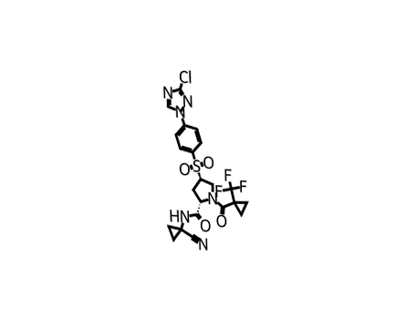 N#CC1(NC(=O)[C@@H]2C[C@@H](S(=O)(=O)c3ccc(-n4cnc(Cl)n4)cc3)CN2C(=O)C2(C(F)(F)F)CC2)CC1